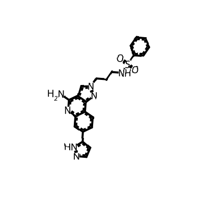 Nc1nc2cc(-c3ccn[nH]3)ccc2c2nn(CCCNS(=O)(=O)c3ccccc3)cc12